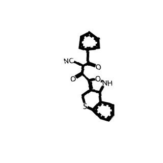 N#CC(C(=O)C1=C2CSc3ccccc3C2NO1)C(=O)c1ccccc1